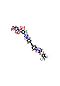 CC1(C)[C@H](Oc2ccc(C#N)c(Cl)c2)C(C)(C)[C@H]1N1Cc2nc(C#Cc3ccc(N4CCN(c5cc6c(cc5F)C(O)N(C5CCC(=O)NC5=O)C6O)CC4)cc3)ccc2C1=O